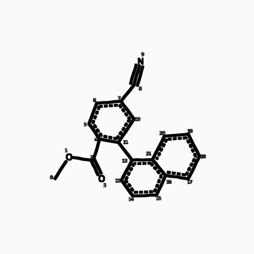 COC(=O)c1ccc(C#N)cc1-c1cccc2ccccc12